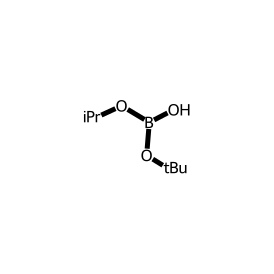 CC(C)OB(O)OC(C)(C)C